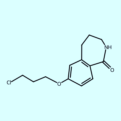 O=C1NCCCc2cc(OCCCCl)ccc21